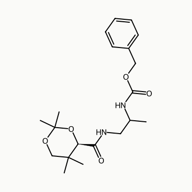 CC(CNC(=O)[C@@H]1OC(C)(C)OCC1(C)C)NC(=O)OCc1ccccc1